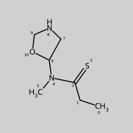 CCC(=S)N(C)C1CNCO1